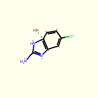 Br.Nc1nc2cc(Cl)ccc2[nH]1